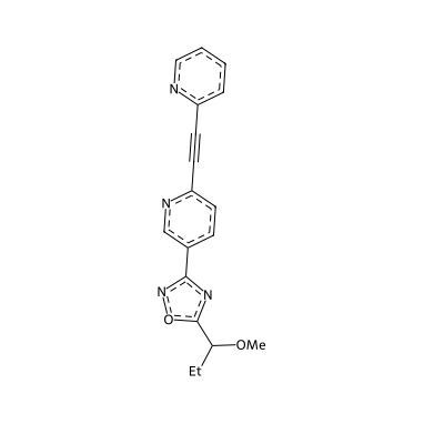 CCC(OC)c1nc(-c2ccc(C#Cc3ccccn3)nc2)no1